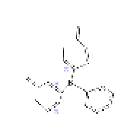 C=C/C=C\C(=C/C)B(C(/C=C\C)=C/C=C)c1ccccc1